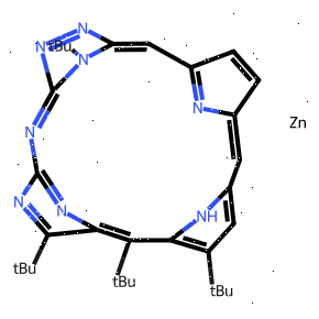 CC(C)(C)C1=Nc2nc1c(C(C)(C)C)c1[nH]c(cc3nc(cc4nnc(n2)n4C(C)(C)C)C=C3)cc1C(C)(C)C.[Zn]